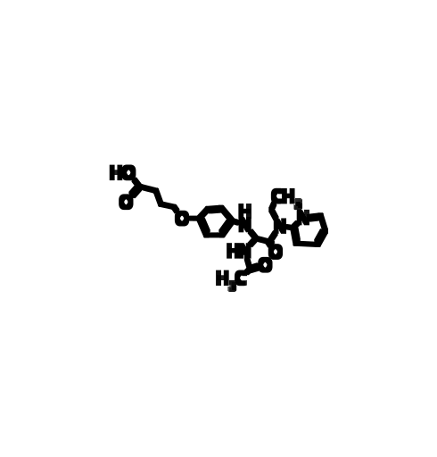 CCN(C(=O)C(NC(C)=O)Nc1ccc(OCCCC(=O)O)cc1)c1ccccn1